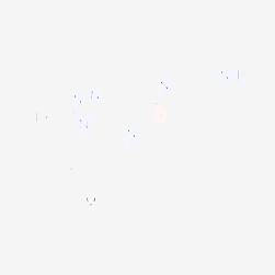 COc1ccc2c(c1)C(c1ccc(Cl)cc1)=N[C@@H](CC(=O)N1CCC(CN)C1)c1nnc(C)n1-2